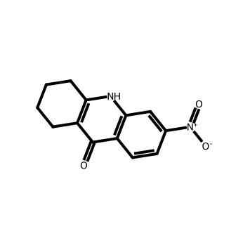 O=c1c2c([nH]c3cc([N+](=O)[O-])ccc13)CCCC2